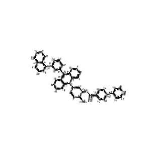 N=C1C=CC(c2c3ccccc3c(-c3cccc(-c4cccc5ccccc45)c3)c3ccccc23)=C/C1=N/Nc1ccc(-c2ccncc2)cc1